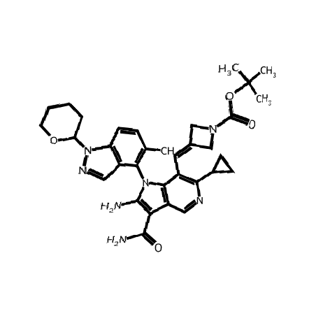 Cc1ccc2c(cnn2C2CCCCO2)c1-n1c(N)c(C(N)=O)c2cnc(C3CC3)c(C=C3CN(C(=O)OC(C)(C)C)C3)c21